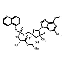 CCOc1nc(N)nc2c1ncn2[C@@H]1O[C@](F)(COP(=O)(N[C@@H](C)C(=O)OCC(C)(C)C)Oc2cccc3ncccc23)[C@@H](O)[C@@]1(C)F